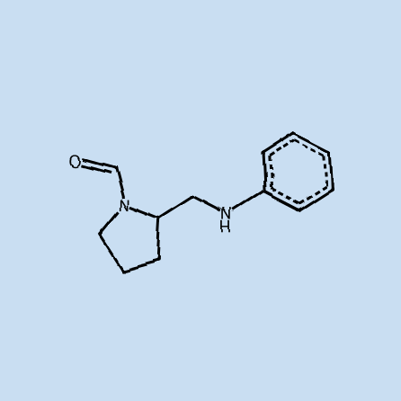 O=CN1CCCC1CNc1ccccc1